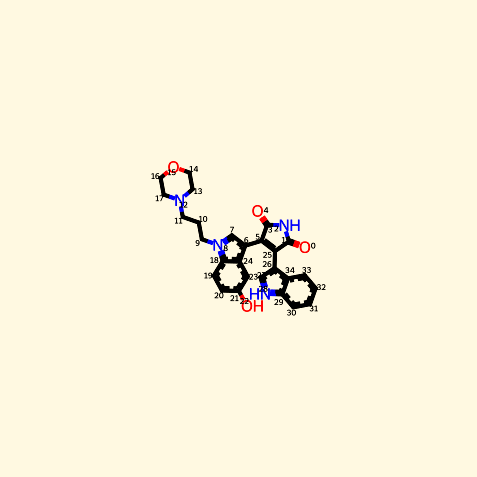 O=C1NC(=O)C(c2cn(CCCN3CCOCC3)c3ccc(O)cc23)=C1c1c[nH]c2ccccc12